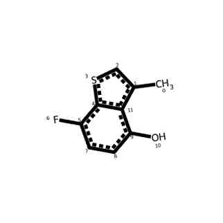 Cc1csc2c(F)ccc(O)c12